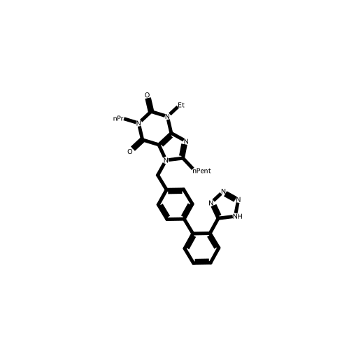 CCCCCc1nc2c(c(=O)n(CCC)c(=O)n2CC)n1Cc1ccc(-c2ccccc2-c2nnn[nH]2)cc1